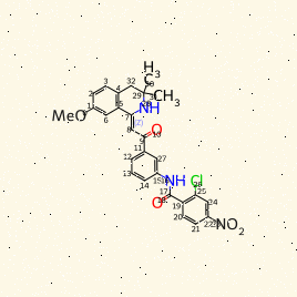 COc1ccc2c(c1)/C(=C/C(=O)c1cccc(NC(=O)c3ccc([N+](=O)[O-])cc3Cl)c1)NC(C)(C)C2